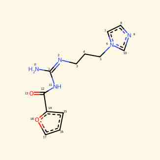 NC(=NCCCn1ccnc1)NC(=O)c1ccco1